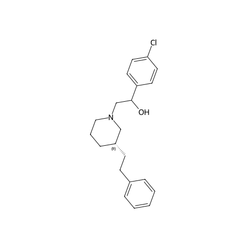 OC(CN1CCC[C@@H](CCc2ccccc2)C1)c1ccc(Cl)cc1